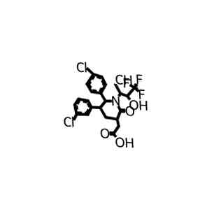 CCC(C(O)C(F)(F)F)N1C(=O)C(CC(=O)O)CC(c2cccc(Cl)c2)C1c1ccc(Cl)cc1